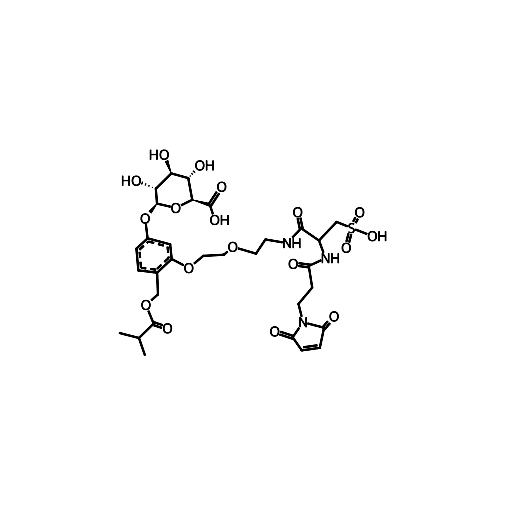 CC(C)C(=O)OCc1ccc(O[C@@H]2O[C@H](C(=O)O)[C@@H](O)[C@H](O)[C@H]2O)cc1OCCOCCNC(=O)C(CS(=O)(=O)O)NC(=O)CCN1C(=O)C=CC1=O